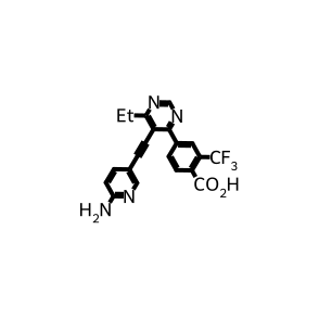 CCc1ncnc(-c2ccc(C(=O)O)c(C(F)(F)F)c2)c1C#Cc1ccc(N)nc1